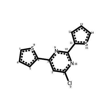 Clc1cc(-c2cccs2)nc(-c2cccs2)n1